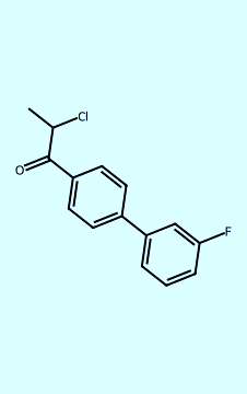 CC(Cl)C(=O)c1ccc(-c2cccc(F)c2)cc1